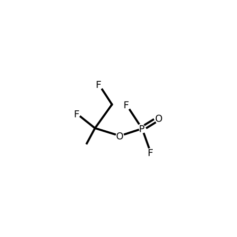 CC(F)(CF)OP(=O)(F)F